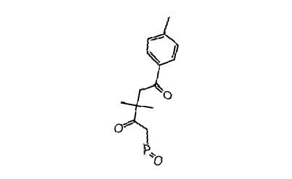 Cc1ccc(C(=O)CC(C)(C)C(=O)CP=O)cc1